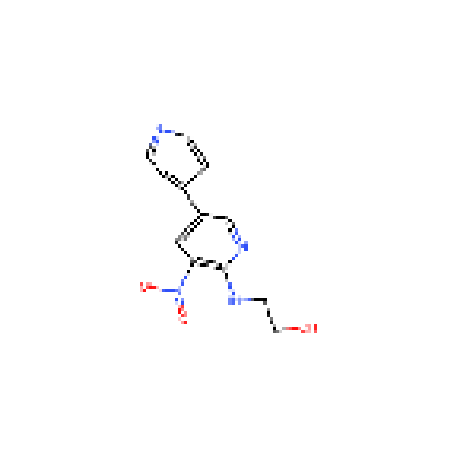 O=[N+]([O-])c1cc(-c2ccncc2)cnc1NCCO